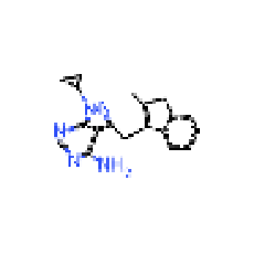 CC1=C(Cc2nn(C3CC3)c3ncnc(N)c23)c2ccccc2C1